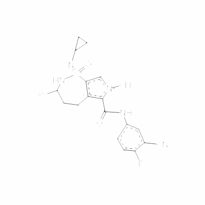 CC(C)C1CCc2c(cn(C)c2C(=O)Nc2ccc(F)c(C#N)c2)S(=O)(=NC2CC2)N1